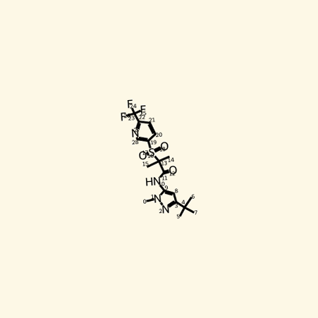 Cn1nc(C(C)(C)C)cc1NC(=O)C(C)(C)S(=O)(=O)c1ccc(C(F)(F)F)nc1